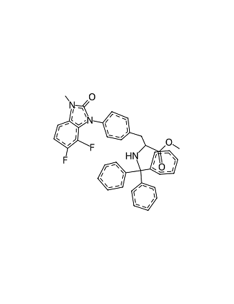 COC(=O)C(Cc1ccc(-n2c(=O)n(C)c3ccc(F)c(F)c32)cc1)NC(c1ccccc1)(c1ccccc1)c1ccccc1